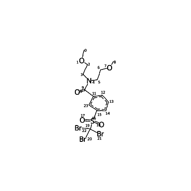 COCCN(CCOC)C(=O)c1cccc(S(=O)(=O)C(Br)(Br)Br)c1